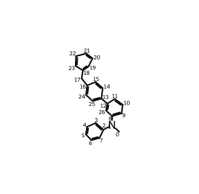 CN(c1ccccc1)c1cccc(-c2ccc(Cc3ccccc3)cc2)c1